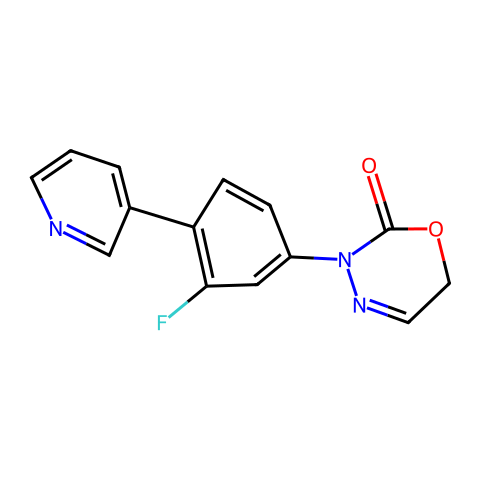 O=C1OCC=NN1c1ccc(-c2cccnc2)c(F)c1